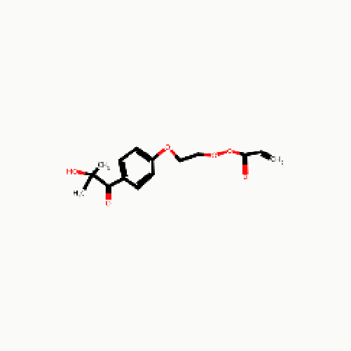 C=CC(=O)OOCCOc1ccc(C(=O)C(C)(C)O)cc1